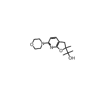 CC(C)(O)C1(C)Cc2ccc(N3CCOCC3)nc2O1